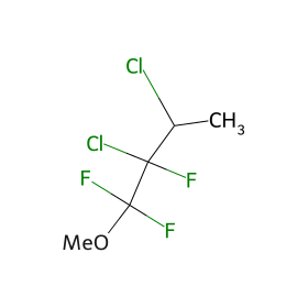 COC(F)(F)C(F)(Cl)C(C)Cl